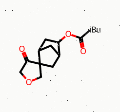 CCC(C)C(=O)OC1CC2CC1CC21COCC1=O